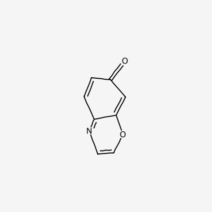 O=c1ccc2nccoc-2c1